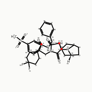 CS(=O)(=O)c1ccc(CN2C(=O)NC3(CC4CC[C@H](C3)N4CC[C@H](NC(=O)C3CCC(F)(F)CC3)c3ccccc3)C2=O)cc1